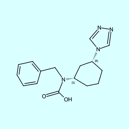 O=C(O)N(Cc1ccccc1)[C@H]1CCC[C@@H](n2cnnc2)C1